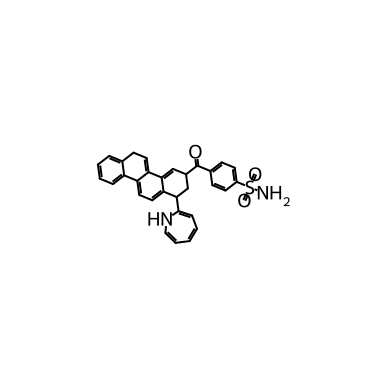 NS(=O)(=O)c1ccc(C(=O)C2C=c3c(ccc4c3=CCc3ccccc3-4)C(C3=CC=CC=CN3)C2)cc1